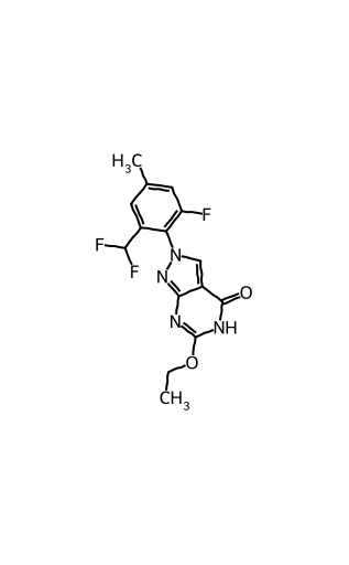 CCOc1nc2nn(-c3c(F)cc(C)cc3C(F)F)cc2c(=O)[nH]1